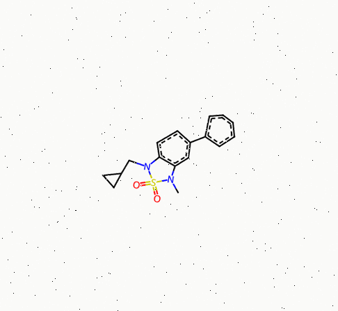 CN1c2cc(-c3ccccc3)ccc2N(CC2CC2)S1(=O)=O